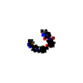 C=C1CCC(N2Cc3c(OCc4ccc(CN5CCC(c6nnc(C)s6)CC5)cc4)cccc3C2=O)C(=O)N1